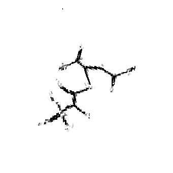 O=C(O)CC(NC(=O)C(Cl)P(=O)(O)O)C(=O)O